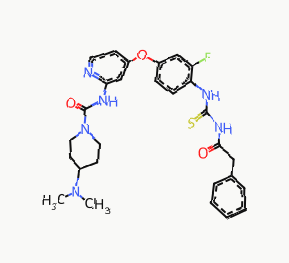 CN(C)C1CCN(C(=O)Nc2cc(Oc3ccc(NC(=S)NC(=O)Cc4ccccc4)c(F)c3)ccn2)CC1